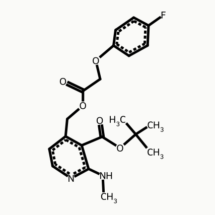 CNc1nccc(COC(=O)COc2ccc(F)cc2)c1C(=O)OC(C)(C)C